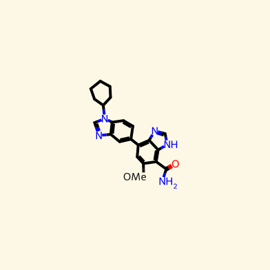 COc1cc(-c2ccc3c(c2)ncn3C2CCCCC2)c2nc[nH]c2c1C(N)=O